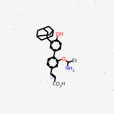 CCC(N)Oc1cc(/C=C/C(=O)O)ccc1-c1ccc(O)c(C23CC4CC(CC(C4)C2)C3)c1